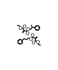 C=C(C(=O)OCC)C(=O)OCC(C)c1ccccc1.C=C(C(=O)OCC)C(=O)OCCCc1ccccc1